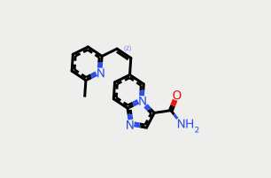 Cc1cccc(/C=C\c2ccc3ncc(C(N)=O)n3c2)n1